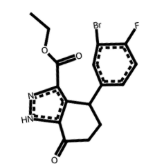 CCOC(=O)c1n[nH]c2c1C(c1ccc(F)c(Br)c1)CCC2=O